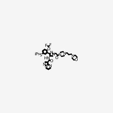 CC(C)Sc1ccc(OC(F)F)c(-c2nn(CC(=O)N3CCN(CCCN4CCOCC4)CC3)cc2NC(=O)c2cnn3cccnc23)c1